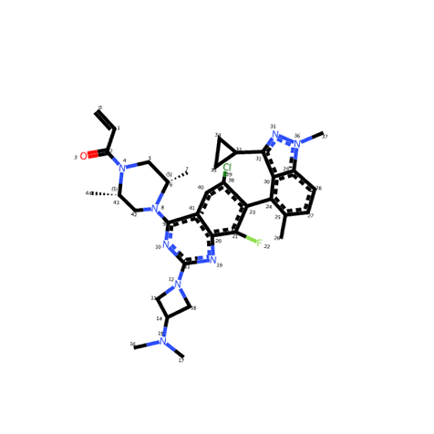 C=CC(=O)N1C[C@H](C)N(c2nc(N3CC(N(C)C)C3)nc3c(F)c(-c4c(C)ccc5c4c(C4CC4)nn5C)c(Cl)cc23)C[C@@H]1C